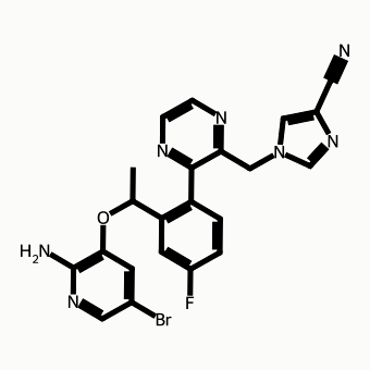 CC(Oc1cc(Br)cnc1N)c1cc(F)ccc1-c1nccnc1Cn1cnc(C#N)c1